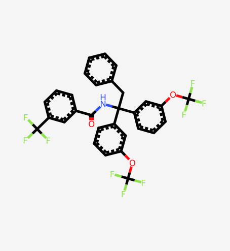 O=C(NC(Cc1ccccc1)(c1cccc(OC(F)(F)F)c1)c1cccc(OC(F)(F)F)c1)c1cccc(C(F)(F)F)c1